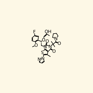 COc1ccc(F)cc1[C@H](Cn1c(=O)n(C(C)(C)C(=O)N2CCCC2)c(=O)c2c(C)c(-n3cccn3)sc21)O/C=C(\C)O